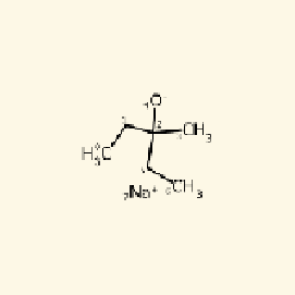 CCC(C)([O-])CC.[Na+]